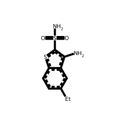 CCc1ccc2sc(S(N)(=O)=O)c(N)c2c1